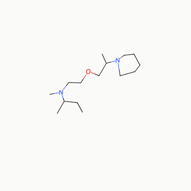 CCC(C)N(C)CCOCC(C)N1CCCCC1